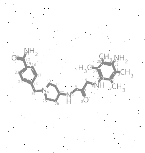 Cc1c(C)c(NCC(=O)CNC2CCN(Cc3ccc(C(N)=O)cc3)CC2)c(C)c(C)c1N